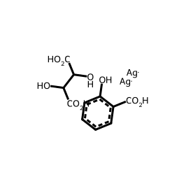 O=C(O)C(O)C(O)C(=O)O.O=C(O)c1ccccc1O.[Ag].[Ag]